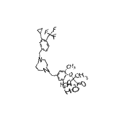 Cc1cc(CN2CCN(Cc3ccc(C(F)(F)F)c(C4CC4)c3)CC2)cc(C)c1OC(C)(C)C(=O)O